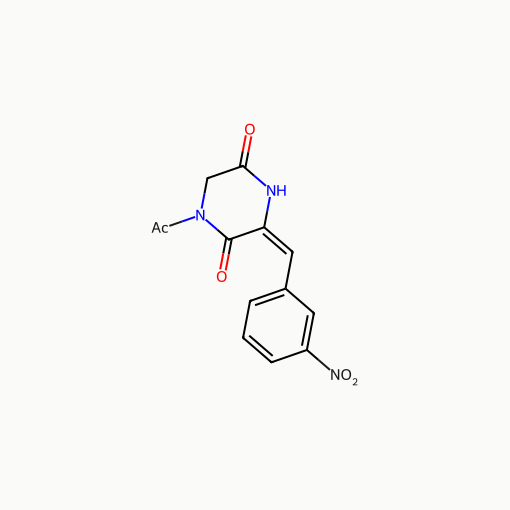 CC(=O)N1CC(=O)NC(=Cc2cccc([N+](=O)[O-])c2)C1=O